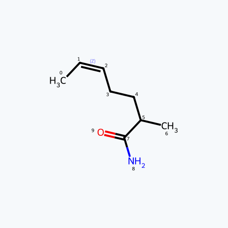 C/C=C\CCC(C)C(N)=O